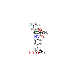 COC(CC(=O)O)c1ccc(NC(=O)C(C)(C)Oc2ccc(Cl)cc2Cl)cc1